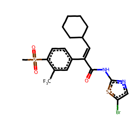 CS(=O)(=O)c1ccc(/C(=C\C2CCCCC2)C(=O)Nc2ncc(Br)s2)cc1C(F)(F)F